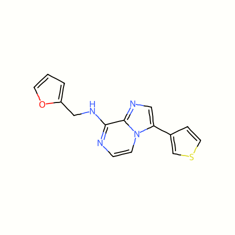 c1coc(CNc2nccn3c(-c4ccsc4)cnc23)c1